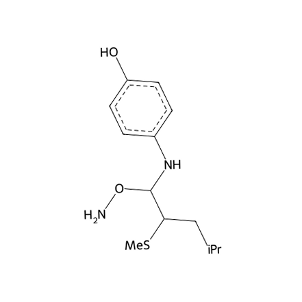 CSC(CC(C)C)C(Nc1ccc(O)cc1)ON